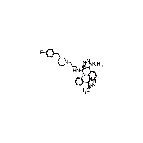 Cn1nnnc1-c1ccccc1N(C(=O)NCCCN1CCCC(Cc2ccc(F)cc2)C1)c1ccccc1-c1nnnn1C